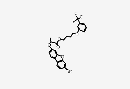 CC(Oc1ccc2c(c1)oc1cc(Br)ccc12)C(=O)OCCCCOc1cccc(C(F)(F)F)c1